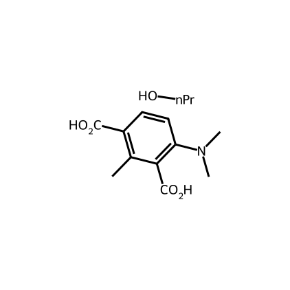 CCCO.Cc1c(C(=O)O)ccc(N(C)C)c1C(=O)O